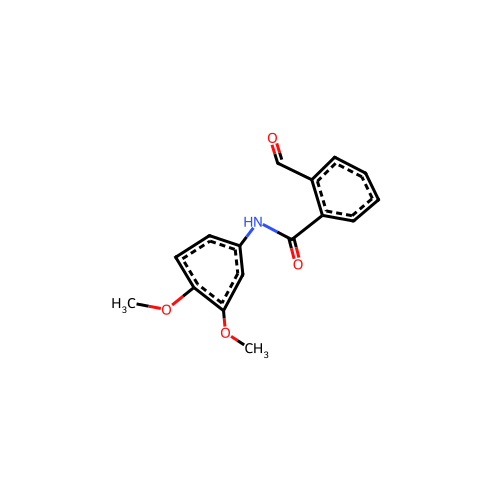 COc1ccc(NC(=O)c2ccccc2C=O)cc1OC